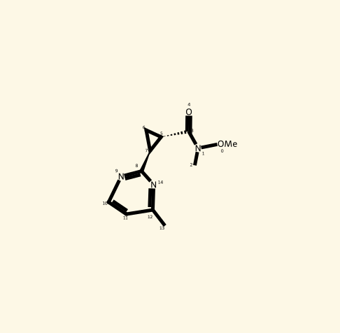 CON(C)C(=O)[C@H]1C[C@@H]1c1nccc(C)n1